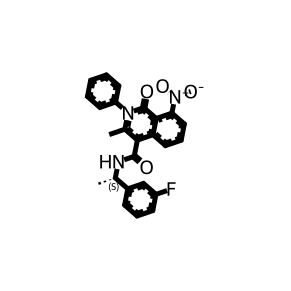 Cc1c(C(=O)N[C@@H](C)c2cccc(F)c2)c2cccc([N+](=O)[O-])c2c(=O)n1-c1ccccc1